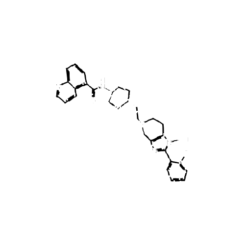 Cn1c(-c2ccccc2F)nc2c1CCN(CC[C@H]1CC[C@H](NC(=O)c3cccc4ncccc34)CC1)C2